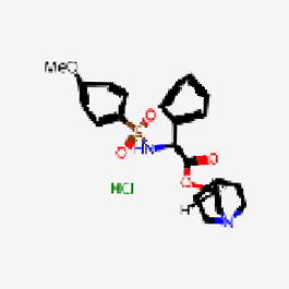 COc1ccc(S(=O)(=O)NC(C(=O)O[C@H]2CN3CCC2CC3)c2ccccc2)cc1.Cl